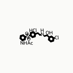 CC(=O)Nc1cccc(S(=O)(=O)c2ccc(CCNC[C@H](O)c3cccc(Cl)c3)cc2)c1.Cl